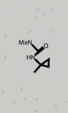 CNC(=O)NC1(C)CC1